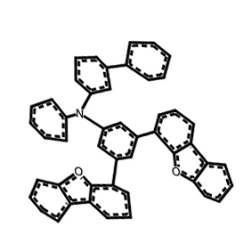 c1ccc(-c2cccc(N(c3ccccc3)c3cc(-c4cccc5c4oc4ccccc45)cc(-c4cccc5c4oc4ccccc45)c3)c2)cc1